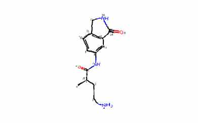 C[C@H](CCN)C(=O)Nc1ccc2c(c1)C(=O)NC2